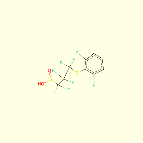 O=S(O)C(F)(F)C(F)(F)C(F)(F)Sc1c(F)cccc1F